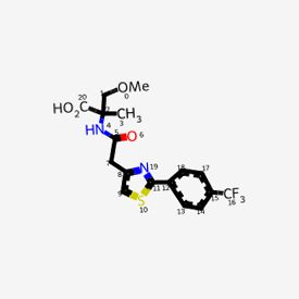 COCC(C)(NC(=O)Cc1csc(-c2ccc(C(F)(F)F)cc2)n1)C(=O)O